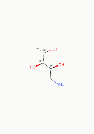 C[C@H](O)[C@H](O)[C@@H](O)CN